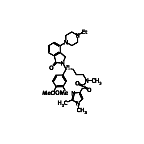 CCN1CCN(c2cccc3c2CN([C@H](CCCN(C)S(=O)(=O)c2cn(C)c(C)n2)c2ccc(OC)c(OC)c2)C3=O)CC1